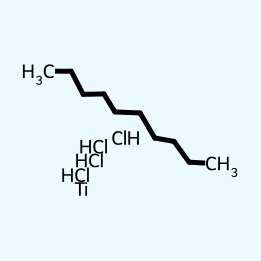 CCCCCCCCCC.Cl.Cl.Cl.Cl.[Ti]